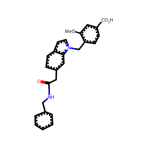 COc1cc(C(=O)O)ccc1Cn1ccc2ccc(CC(=O)NCc3ccccc3)cc21